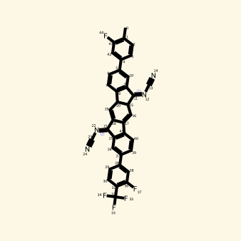 Cc1ccc(-c2ccc3c(c2)/C(=N\C#N)C2C=C4C(=CC32)/C(=N/C#N)c2cc(-c3ccc(C(F)(F)F)c(F)c3)ccc24)cc1F